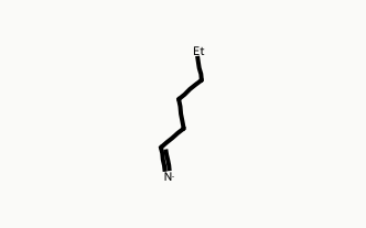 CCCCCC=[N]